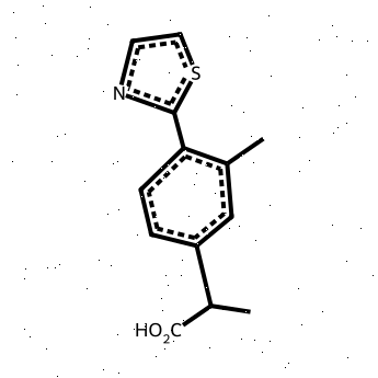 Cc1cc(C(C)C(=O)O)ccc1-c1nccs1